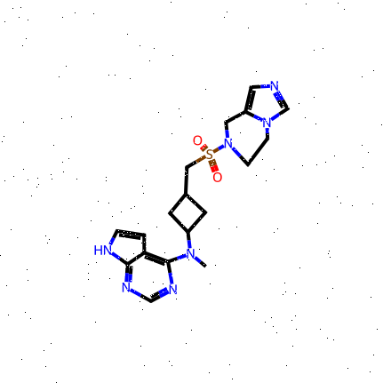 CN(c1ncnc2[nH]ccc12)C1CC(CS(=O)(=O)N2CCn3cncc3C2)C1